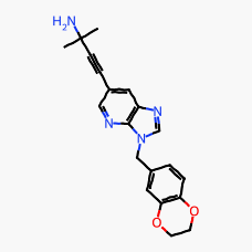 CC(C)(N)C#Cc1cnc2c(c1)ncn2Cc1ccc2c(c1)OCCO2